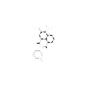 CN1CCC[C@@H](N2C(=O)c3cccc4c(N)c(Cl)cc(c34)C2=O)C1